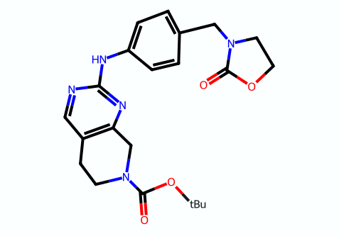 CC(C)(C)OC(=O)N1CCc2cnc(Nc3ccc(CN4CCOC4=O)cc3)nc2C1